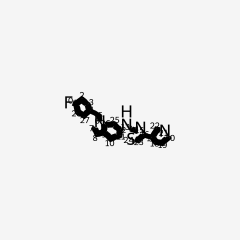 Fc1ccc(Cn2ccc3ccc(Nc4nc(-c5cccnc5)cs4)cc32)cc1